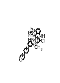 COc1cc(N2CCC(N3CCOCC3)CC2)ccc1Nc1ncc(Cl)c(Nc2ccccc2CN[SH](=O)=O)n1